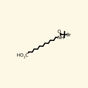 CC(C)(Br)C(=O)NCCCCCCCCCCCC(=O)O